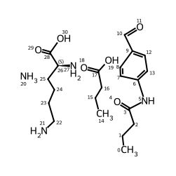 CCCC(=O)Nc1ccc(C=O)cc1.CCCC(=O)O.N.NCCCC[C@H](N)C(=O)O